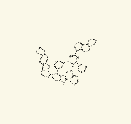 c1ccc(C2=NC(c3cccc4c3ccc3ccccc34)=NC(c3ccc(-n4c5ccccc5c5cc6ccccc6cc54)c(-c4cccc5sc6c7ccccc7ccc6c45)c3)N2)cc1